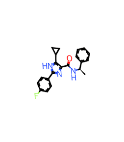 C[C@@H](NC(=O)c1nc(-c2ccc(F)cc2)[nH]c1C1CC1)c1ccccc1